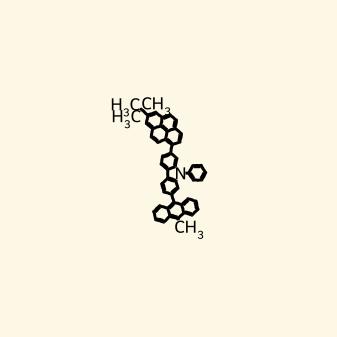 Cc1c2ccccc2c(-c2ccc3c4ccc(-c5ccc6ccc7cc(C(C)(C)C)cc8ccc5c6c78)cc4n(-c4ccccc4)c3c2)c2ccccc12